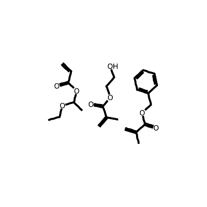 C=C(C)C(=O)OCCO.C=C(C)C(=O)OCc1ccccc1.C=CC(=O)OC(C)OCC